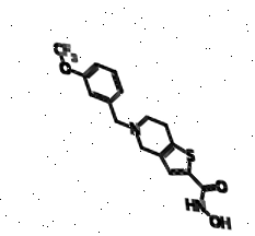 O=C(NO)c1cc2c(s1)CCN(Cc1cccc(OC(F)(F)F)c1)C2